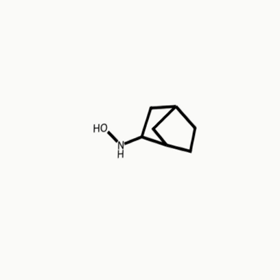 ONC1CC2CCC1C2